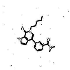 CCCCCn1cc(-c2cccc(C(=O)N(C)C)c2)c2cc[nH]c2c1=O